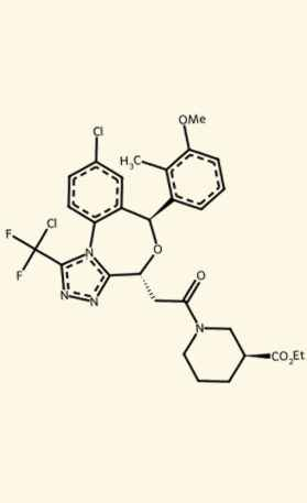 CCOC(=O)[C@H]1CCCN(C(=O)C[C@H]2O[C@H](c3cccc(OC)c3C)c3cc(Cl)ccc3-n3c2nnc3C(F)(F)Cl)C1